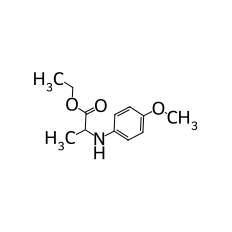 CCOC(=O)C(C)Nc1ccc(OC)cc1